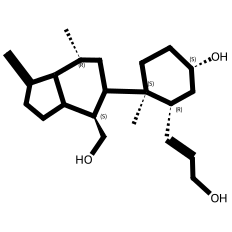 C=C1CCC2C1[C@H](C)CC([C@@]1(C)CC[C@H](O)C[C@@H]1C=CCO)[C@H]2CO